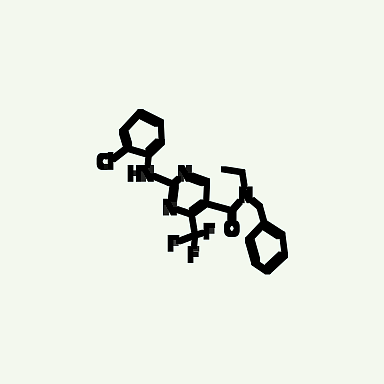 CCN(Cc1ccccc1)C(=O)c1cnc(Nc2ccccc2Cl)nc1C(F)(F)F